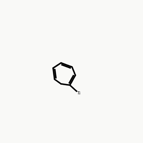 [Ti][C]1=CC=CC=CC1